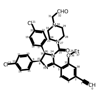 C#Cc1ccc(C2=N[C@@H](c3ccc(Cl)cc3)[C@@H](c3ccc(Cl)cc3)N2C(=O)N2CCN(CC=O)CC2)c(OCC)c1